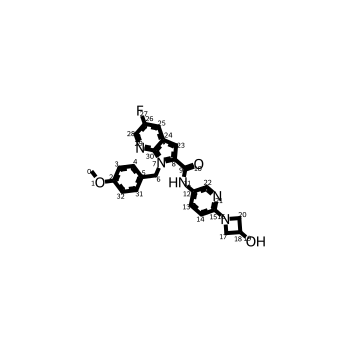 COc1ccc(Cn2c(C(=O)Nc3ccc(N4CC(O)C4)nc3)cc3cc(F)cnc32)cc1